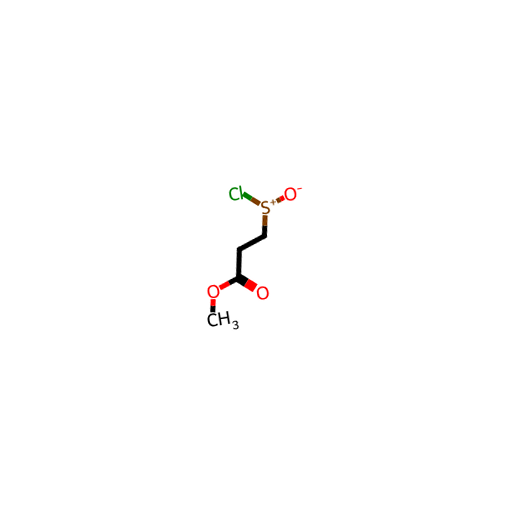 COC(=O)CC[S+]([O-])Cl